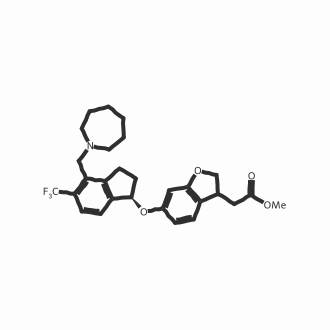 COC(=O)CC1COc2cc(O[C@@H]3CCc4c3ccc(C(F)(F)F)c4CN3CCCCCC3)ccc21